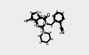 N#Cc1ccccc1Cn1c(N2CCCCC2)nc2c(I)csc2c1=O